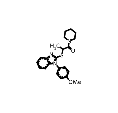 COc1ccc(-n2c(SC(C)C(=O)N3CCCCC3)nc3ccccc32)cc1